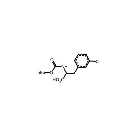 CCCCOC(=O)NC(Cc1cccc(Cl)c1)C(=O)O